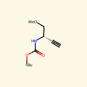 C#C[C@@H](COC)NC(=O)OCCCC